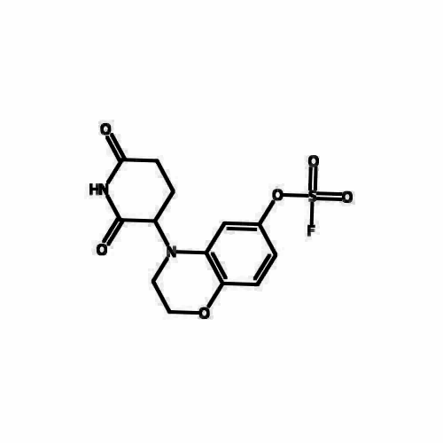 O=C1CCC(N2CCOc3ccc(OS(=O)(=O)F)cc32)C(=O)N1